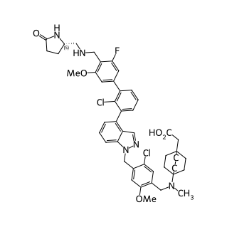 COc1cc(Cn2ncc3c(-c4cccc(-c5cc(F)c(CNC[C@@H]6CCC(=O)N6)c(OC)c5)c4Cl)cccc32)c(Cl)cc1CN(C)C12CCC(CC(=O)O)(CC1)CC2